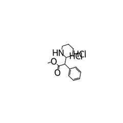 COC(=O)C(c1ccccc1)C1CCCCN1.Cl.Cl